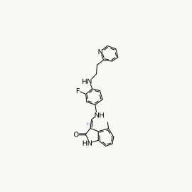 Cc1cccc2c1/C(=C\Nc1ccc(NCCc3ccccn3)c(F)c1)C(=O)N2